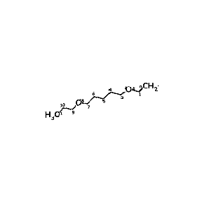 [CH2]COCCCCCOCCC